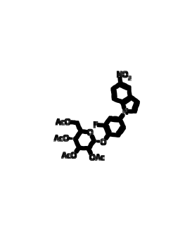 CC(=O)OCC1O[C@H](Oc2ccc(-n3ccc4cc([N+](=O)[O-])ccc43)cc2F)C(OC(C)=O)C(OC(C)=O)[C@@H]1OC(C)=O